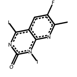 Cc1nc2c(cc1F)c(I)nc(=O)n2I